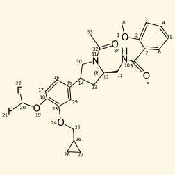 COc1ccccc1C(=O)NC[C@H]1CC(c2ccc(OC(F)F)c(OCC3CC3)c2)CN1C(C)=O